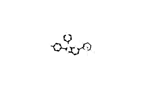 Fc1ccc(-c2nc3ccc(N4C[C@@H]5CC[C@H]4CN5)nc3n2-c2ccncc2)cc1